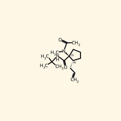 C=CC[C@H]1CCC[C@]1(C(=O)NC(C)(C)C)N(C)C(C)=O